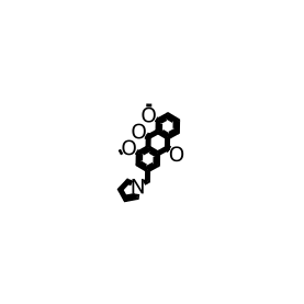 COc1cccc2c1C(=O)c1c(OC)cc(CN3C=CCC3)cc1C2=O